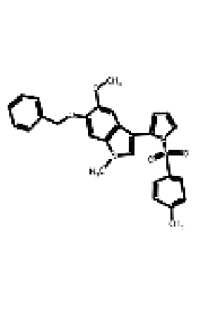 COc1cc2c(-c3cccn3S(=O)(=O)c3ccc(C)cc3)cn(C)c2cc1OCc1ccccc1